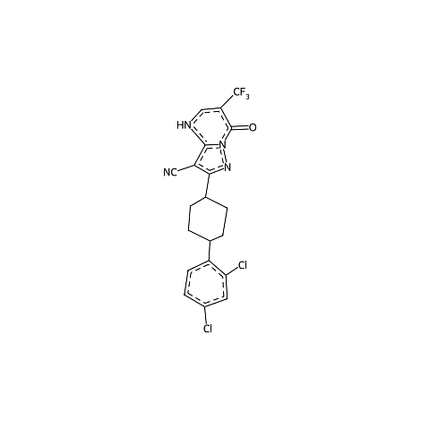 N#Cc1c(C2CCC(c3ccc(Cl)cc3Cl)CC2)nn2c(=O)c(C(F)(F)F)c[nH]c12